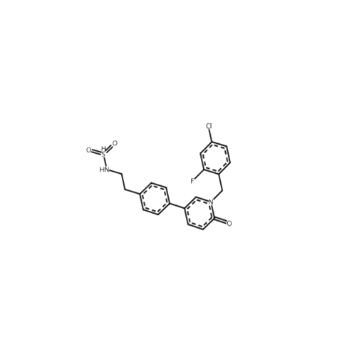 O=c1ccc(-c2ccc(CCN[SH](=O)=O)cc2)cn1Cc1ccc(Cl)cc1F